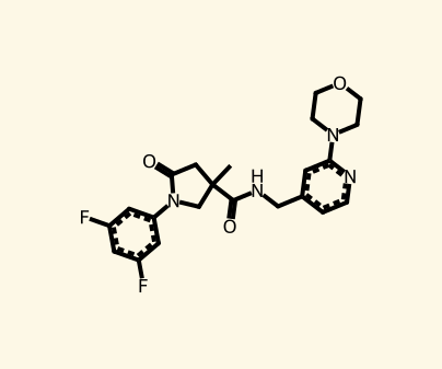 CC1(C(=O)NCc2ccnc(N3CCOCC3)c2)CC(=O)N(c2cc(F)cc(F)c2)C1